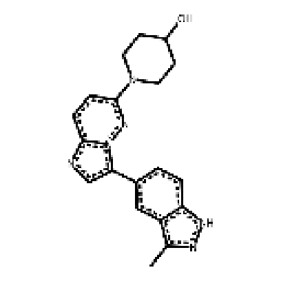 Cc1n[nH]c2ccc(-c3cnc4ccc(N5CCC(O)CC5)nn34)cc12